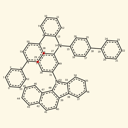 c1ccc(-c2ccc(-c3ccccc3N(c3ccc(-c4ccccc4)cc3)c3cccc(-n4c5ccccc5c5ccc6ccccc6c54)c3)cc2)cc1